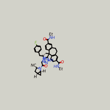 CCNC(=O)c1ccc2c(c1)CCc1cc(C(=O)NCC)ccc1C2(C[C@@H](Cc1ccc(F)cc1)NCC(=O)N1C(C#N)C[C@@H]2C[C@@H]21)c1nnn[nH]1